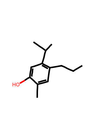 CCCc1cc(C)c(O)cc1C(C)C